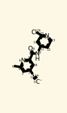 [C-]#[N+]c1cc(C)nc(C(=O)Nc2ccnc(Cl)c2)c1